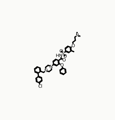 Cc1cc(S(=O)(=O)NC(=O)c2ccc(N3CCN(Cc4ccccc4-c4ccc(Cl)cc4)CC3)cc2Oc2ccccc2)ccc1OCCCN(C)C